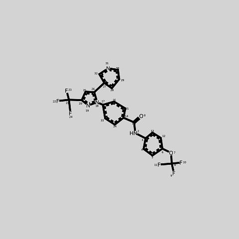 O=C(Nc1ccc(OC(F)(F)F)cc1)c1ccc(-n2nc(C(F)(F)F)cc2-c2cccnc2)cc1